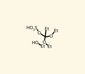 CCO.CCOC(CC)(OCC)OS(=O)(=O)O